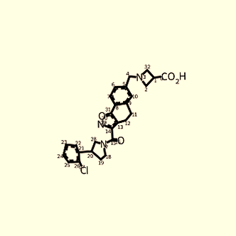 O=C(O)C1CN(Cc2ccc3c(c2)CCc2c(C(=O)N4CCC(c5ccccc5Cl)C4)noc2-3)C1